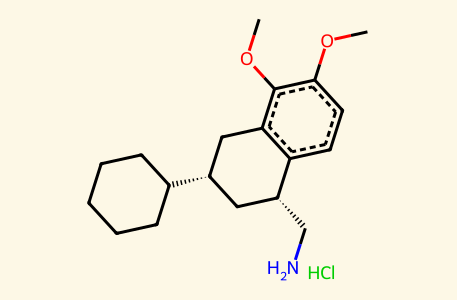 COc1ccc2c(c1OC)C[C@@H](C1CCCCC1)C[C@H]2CN.Cl